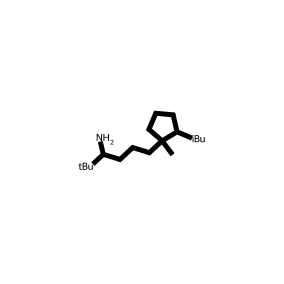 CCC(C)C1CCCC1(C)CCCC(N)C(C)(C)C